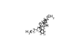 C=CC[N+]12CCC(CC1)[C@@H](OC(=O)N(CCCCC)c1ccccc1)C2